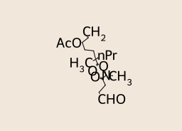 C=CC(CC[C@](C)(CCC)C(=O)ON(C)C(=O)CCC=O)OC(C)=O